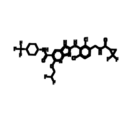 O=C(N[C@H]1CC[C@H](C(F)(F)F)CC1)c1cc2[nH]c(Nc3c(Cl)ccc(CNC(=O)C4CC4(F)F)c3Cl)nc2nc1OCC(F)F